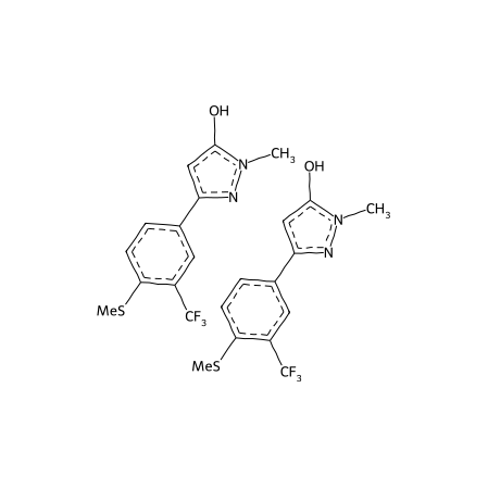 CSc1ccc(-c2cc(O)n(C)n2)cc1C(F)(F)F.CSc1ccc(-c2cc(O)n(C)n2)cc1C(F)(F)F